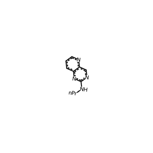 CCCNc1ncc2ncccc2n1